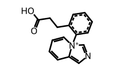 O=C(O)CCc1ccccc1[N+]12C=CC=CC1=CN=C2